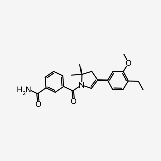 CCc1ccc(C2=CN(C(=O)c3cccc(C(N)=O)c3)C(C)(C)C2)cc1OC